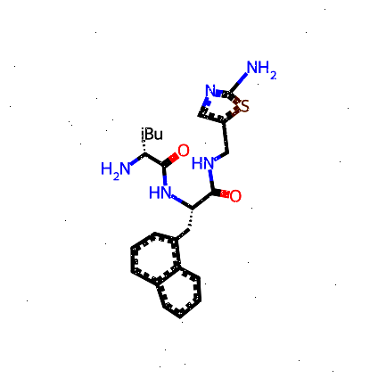 CCC(C)[C@@H](N)C(=O)N[C@@H](Cc1cccc2ccccc12)C(=O)NCc1cnc(N)s1